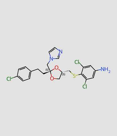 Nc1cc(Cl)c(SC[C@@H]2CO[C@](CCc3ccc(Cl)cc3)(Cn3ccnc3)O2)c(Cl)c1